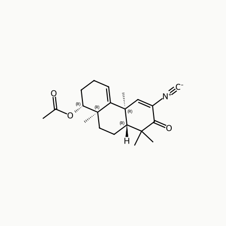 [C-]#[N+]C1=C[C@]2(C)C3=CCC[C@@H](OC(C)=O)[C@]3(C)CC[C@H]2C(C)(C)C1=O